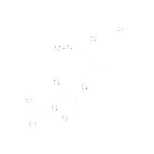 CCC(CC)n1nc(C)c2nc(-c3ccc(C(C)C)nc3NC)c(C)nc21